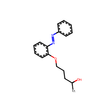 CCC(O)CCCOc1ccccc1N=Nc1ccccc1